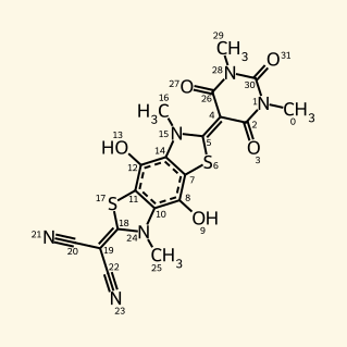 CN1C(=O)C(=C2Sc3c(O)c4c(c(O)c3N2C)SC(=C(C#N)C#N)N4C)C(=O)N(C)C1=O